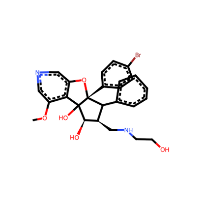 COc1cncc2c1C1(O)[C@H](O)[C@H](CNCCO)C(c3ccccc3)[C@@]1(c1ccc(Br)cc1)O2